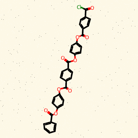 O=C(Cl)c1ccc(C(=O)Oc2ccc(OC(=O)c3ccc(C(=O)Oc4ccc(OC(=O)c5ccccc5)cc4)cc3)cc2)cc1